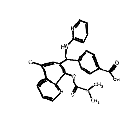 CN(C)C(=O)Oc1c(C(Nc2ccccn2)c2ccc(C(=O)O)cc2)cc(Cl)c2cccnc12